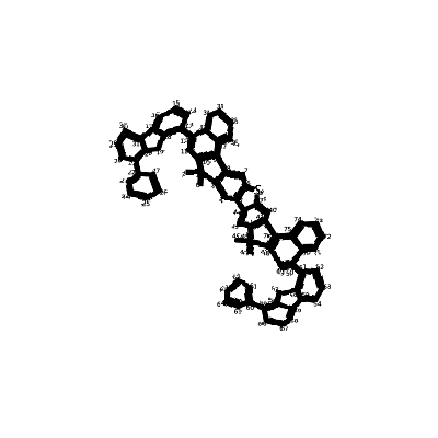 CC1(C)c2cc3c(cc2-c2c1cc(-c1cccc4c1Cc1c(-c5ccccc5)cccc1-4)c1ccccc21)sc1cc2c(cc13)C(C)(C)c1cc(-c3cccc4c3Cc3c(-c5ccccc5)cccc3-4)c3ccccc3c1-2